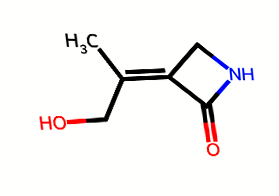 C/C(CO)=C1\CNC1=O